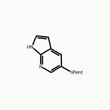 CCCCCc1cnc2[nH]ccc2c1